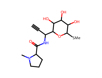 C#CC(NC(=O)C1CCCN1C)C1OC(SC)C(O)C(O)C1O